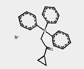 O=C(C[P+](c1ccccc1)(c1ccccc1)c1ccccc1)C1CC1.[Br-]